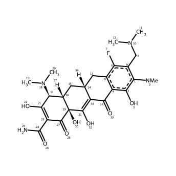 CNc1c(O)c2c(c(F)c1CN(C)C)C[C@H]1C[C@H]3[C@H](N(C)C)C(O)=C(C(N)=O)C(=O)[C@@]3(O)C(O)=C1C2=O